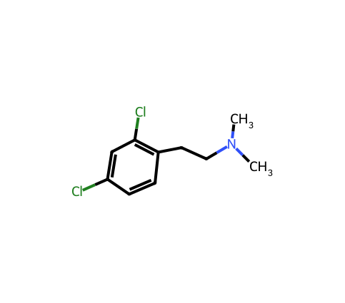 CN(C)CCc1ccc(Cl)cc1Cl